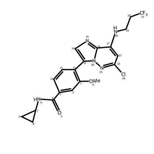 COc1cc(C(=O)NC2CC2)ccc1-c1cnc2c(NCCC(F)(F)F)cc(Cl)nn12